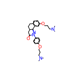 CN(C)CCCOc1ccc(N2N=C3c4cc(OCCCN(C)C)ccc4CCC3CC2=O)cc1